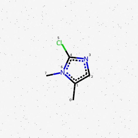 Cc1[c]nc(Cl)n1C